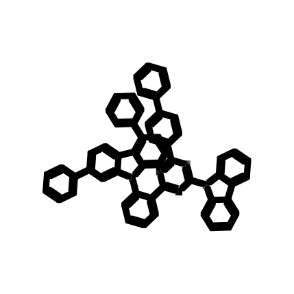 c1ccc(-c2ccc(-c3nc(-c4ccccc4-n4c5cc(-c6ccccc6)ccc5c5c(-c6ccccc6)cccc54)nc(-n4c5ccccc5c5ccccc54)n3)cc2)cc1